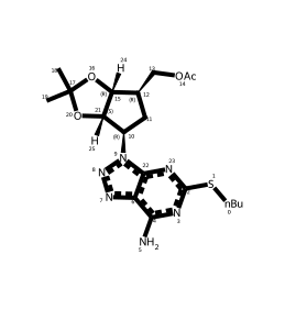 CCCCSc1nc(N)c2nnn([C@@H]3C[C@H](COC(C)=O)[C@H]4OC(C)(C)O[C@H]43)c2n1